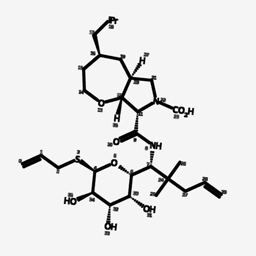 C=CCS[C@H]1O[C@H]([C@H](NC(=O)[C@@H]2[C@@H]3OCC[C@@H](CC(C)C)C[C@H]3CN2C(=O)O)C(C)(C)CC=C)[C@H](O)[C@H](O)[C@H]1O